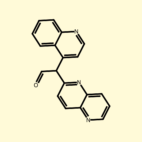 O=CC(c1ccc2ncccc2n1)c1ccnc2ccccc12